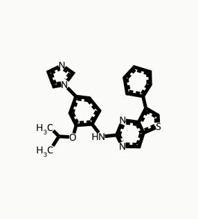 CC(C)Oc1cc(-n2ccnc2)ccc1Nc1ncc2scc(-c3ccccc3)c2n1